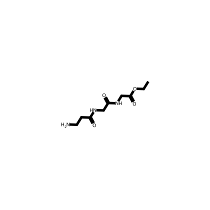 CCOC(=O)CNC(=O)CNC(=O)CCN